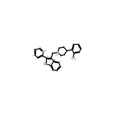 FC(F)(F)c1ccccc1C1CCN(Cc2c(-c3ccccn3)[nH]c3ccccc23)CC1